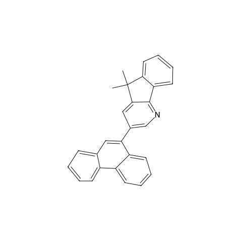 CC1(C)c2ccccc2-c2ncc(-c3cc4ccccc4c4ccccc34)cc21